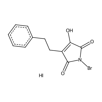 I.O=C1C(O)=C(CCc2ccccc2)C(=O)N1Br